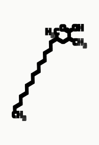 CCCCCCCCCCCCCCC(C)CC(C)C(=O)O